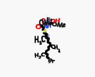 CCN(CC(O)OC)C(=O)NC(CSC/C=C(\C)CCCC(C)CCCC(C)CCCC(C)C)C(=O)OC